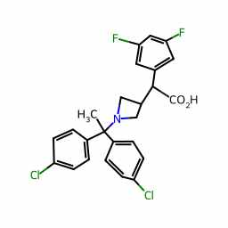 CC(c1ccc(Cl)cc1)(c1ccc(Cl)cc1)N1CC(C(C(=O)O)c2cc(F)cc(F)c2)C1